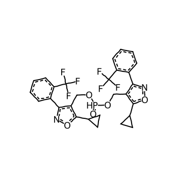 O=[PH](OCc1c(-c2ccccc2C(F)(F)F)noc1C1CC1)OCc1c(-c2ccccc2C(F)(F)F)noc1C1CC1